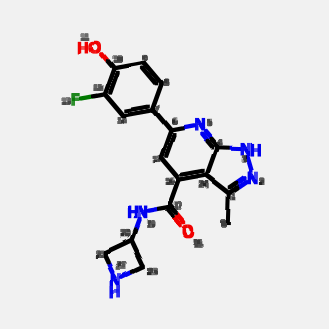 Cc1n[nH]c2nc(-c3ccc(O)c(F)c3)cc(C(=O)NC3CNC3)c12